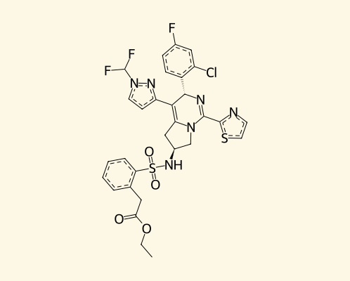 CCOC(=O)Cc1ccccc1S(=O)(=O)N[C@H]1CC2=C(c3ccn(C(F)F)n3)[C@H](c3ccc(F)cc3Cl)N=C(c3nccs3)N2C1